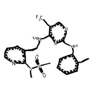 Cc1ccccc1Nc1ncc(C(F)(F)F)c(NCc2cccnc2N(C)S(C)(=O)=O)n1